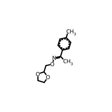 C/C(=N\OCC1OCCO1)c1ccc(C)cc1